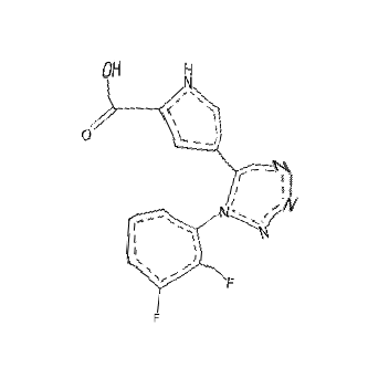 O=C(O)c1cc(-c2nnnn2-c2cccc(F)c2F)c[nH]1